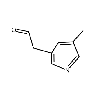 Cc1cncc(CC=O)c1